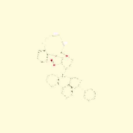 C=C1/C=C\C=C/COc2ccccc2C12c1ccccc1-c1c(N(c3ccc(-c4ccccc4)cc3)c3ccccc3-c3ccccc3)cccc12